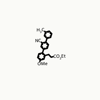 CCOC(=O)CCc1cc(OC)ccc1-c1ccc(-c2cccc(C)c2)c(C#N)c1